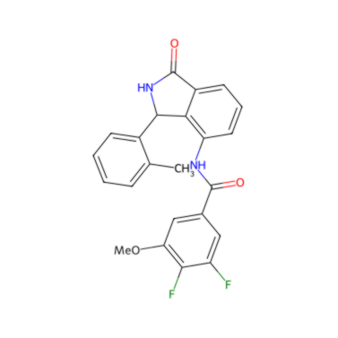 COc1cc(C(=O)Nc2cccc3c2C(c2ccccc2C)NC3=O)cc(F)c1F